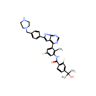 Cc1c(NC(=O)c2ccc(C(C)(C)O)cc2F)cc(F)cc1-c1ncnc2[nH]c(-c3ccc(CN4CCNCC4)cc3)cc12